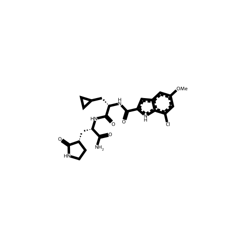 COc1cc(Cl)c2[nH]c(C(=O)N[C@@H](CC3CC3)C(=O)N[C@@H](C[C@@H]3CCNC3=O)C(N)=O)cc2c1